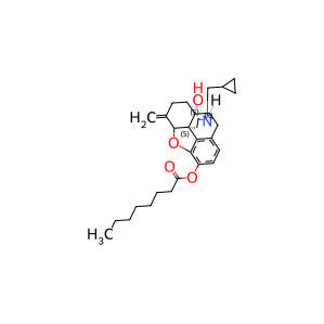 C=C1CC[C@@]2(O)[C@H]3Cc4ccc(OC(=O)CCCCCCC)c5c4[C@@]2(CCN3CC2CC2)C1O5